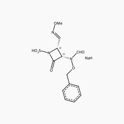 CON=C[C@@H]1[C@H](N(C=O)OCc2ccccc2)C(=O)N1S(=O)(=O)O.[NaH]